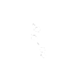 C[C@@H](O)CNc1nccc(-c2nccc(C#Cc3ccc4[nH]ncc4c3)n2)n1